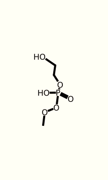 COOP(=O)(O)OCCO